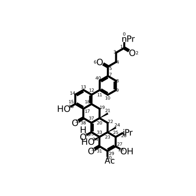 CCCC(=O)CCC(=O)c1cccc(-c2ccc(O)c3c2C[C@]2(C)C[C@]4(C)C(C(C)C)C(O)=C(C(C)=O)C(=O)[C@]4(O)C(O)=C2C3=O)c1